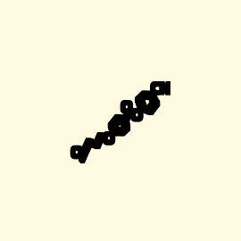 N#Cc1ccc(OC(=O)c2ccc(OCCCC3CO3)cc2)cc1